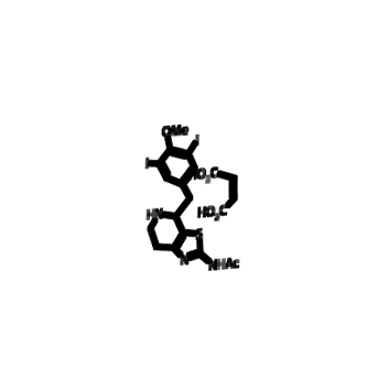 COc1c(I)cc(CC2NCCc3nc(NC(C)=O)sc32)cc1I.O=C(O)/C=C\C(=O)O